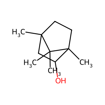 CC12CCC(C)(C(O)C1)C2(C)C